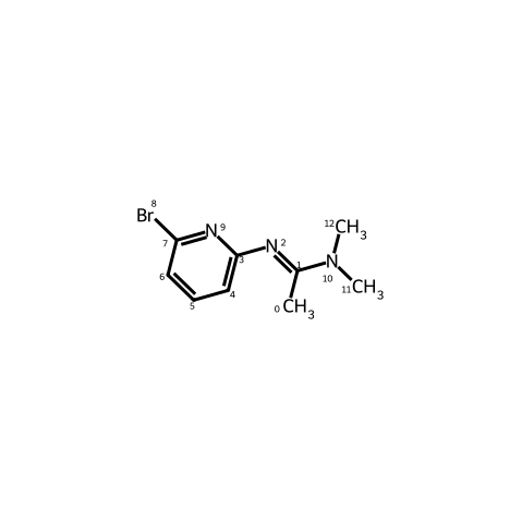 C/C(=N\c1cccc(Br)n1)N(C)C